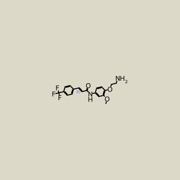 COc1cc(NC(=O)/C=C/c2ccc(C(F)(F)F)cc2)ccc1OCCN